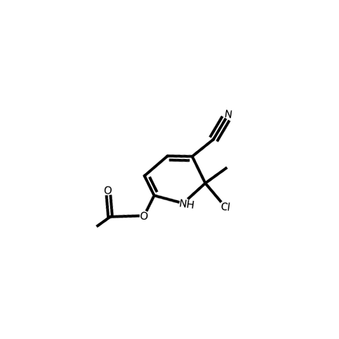 CC(=O)OC1=CC=C(C#N)C(C)(Cl)N1